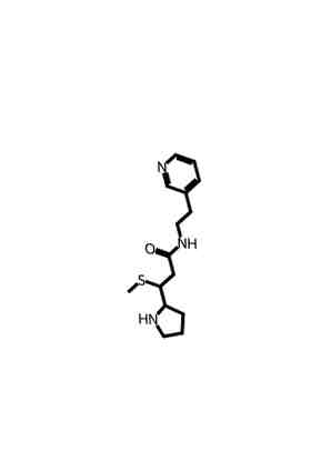 CSC(CC(=O)NCCc1cccnc1)C1CCCN1